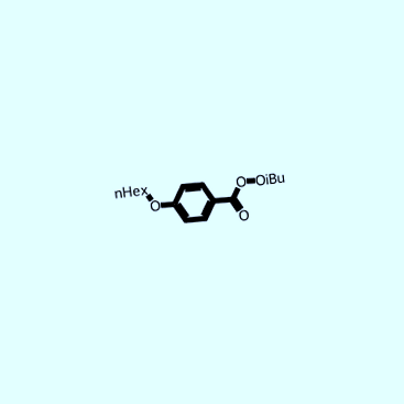 CCCCCCOc1ccc(C(=O)OO[CH]C(C)C)cc1